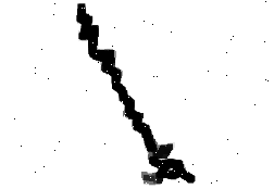 CCCCCCCCCCCCCCCCCCNCc1ccc(C)cc1O